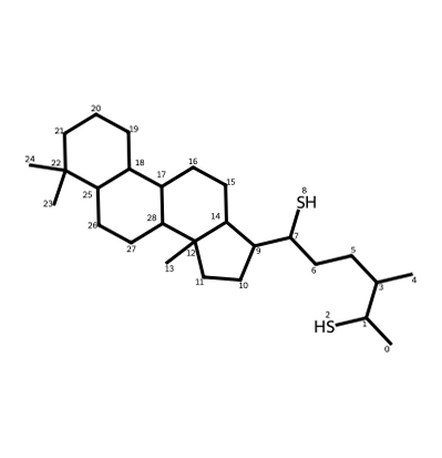 CC(S)C(C)CCC(S)C1CCC2(C)C1CCC1C3CCCC(C)(C)C3CCC12